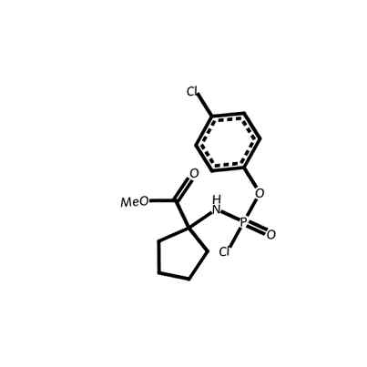 COC(=O)C1(NP(=O)(Cl)Oc2ccc(Cl)cc2)CCCC1